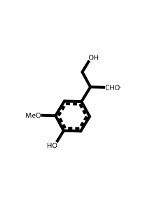 COc1cc(C([C]=O)CO)ccc1O